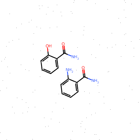 NC(=O)c1ccccc1N.NC(=O)c1ccccc1O